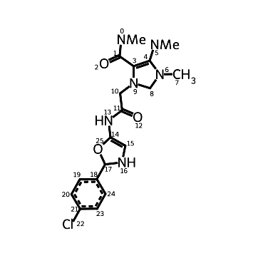 CNC(=O)C1=C(NC)N(C)CN1CC(=O)NC1=CNC(c2ccc(Cl)cc2)O1